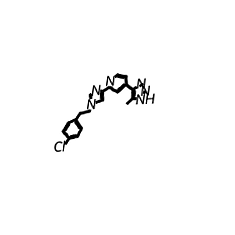 Cc1[nH]nnc1-c1ccnc(-c2cn(CCc3ccc(Cl)cc3)cn2)c1